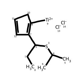 CCC(SC(C)C)C1=[C]([Ti+2])CC=C1.[Cl-].[Cl-]